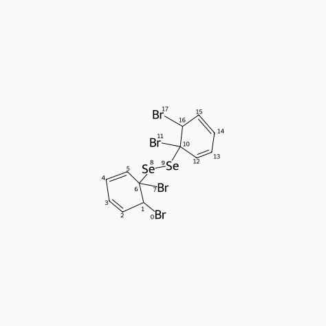 BrC1C=CC=CC1(Br)[Se][Se]C1(Br)C=CC=CC1Br